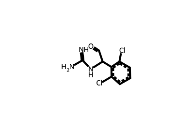 N=C(N)NC(C=O)c1c(Cl)cccc1Cl